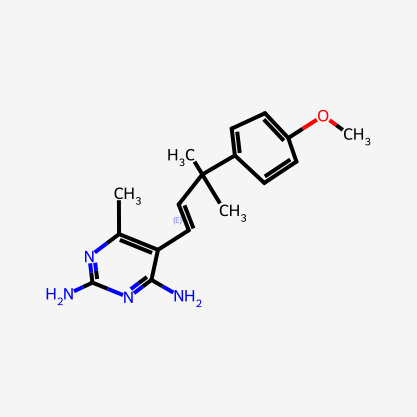 COc1ccc(C(C)(C)/C=C/c2c(C)nc(N)nc2N)cc1